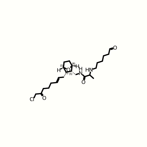 CC(NCCCCCC=O)C(=O)NC[C@@H]1[C@H](CC=CCCCC(=O)CCl)[C@@H]2CC[C@H]1O2